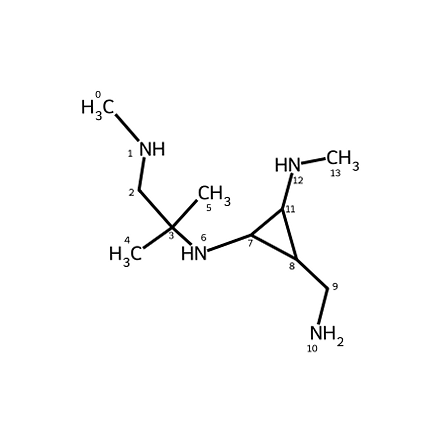 CNCC(C)(C)NC1C(CN)C1NC